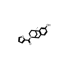 C[C@]12CCN(C(=O)c3ccco3)C(Cc3ccc(O)cc31)C2